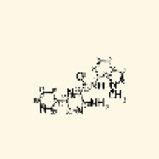 Cn1ccc2cccc(NC(=O)c3nc(-c4cccnc4)cnc3N)c21